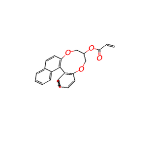 C=CC(=O)OC1COc2ccc3ccccc3c2-c2c(ccc3ccccc23)OC1